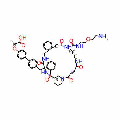 C[C@@H](Oc1ccc(-c2ccc(CC3NC(=O)[C@]4(Cc5ccccc5)CCCN(C4)C(=O)/C=C/C(=O)NCC[C@@H](C(=O)NCCOCCN)NC(=O)Cc4ccccc4CNC3=O)cc2)cc1)C(=O)O